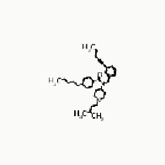 CCCC#Cc1cccc(CN(C(=O)[C@H]2CC[C@H](CCCCC)CC2)C2CCN(CCC(C)C)CC2)c1